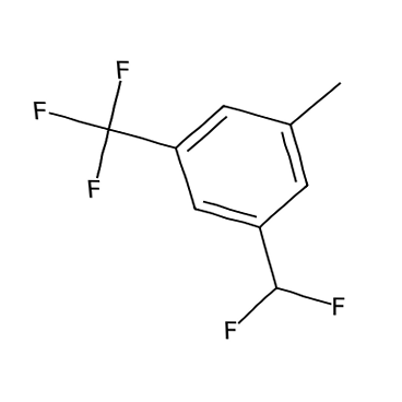 Cc1cc(C(F)F)cc(C(F)(F)F)c1